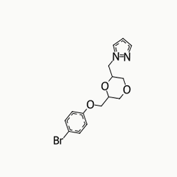 Brc1ccc(OCC2COCC(Cn3cccn3)O2)cc1